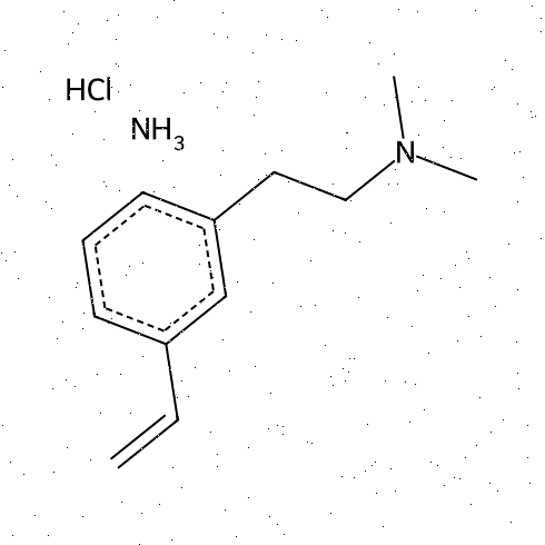 C=Cc1cccc(CCN(C)C)c1.Cl.N